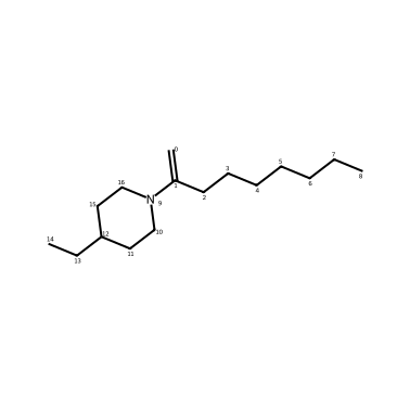 C=C(CCCCCCC)N1CCC(CC)CC1